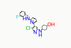 O[C@H]1CC[C@@H](Nc2cc(-c3cccc(NCc4cccc(F)c4)n3)c(Cl)cn2)CC1